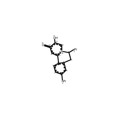 CCCc1ccc2c(c1)CC(C(C)C)n1cc(O)c(=O)cc1-2